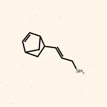 [SiH3]CC=CC1CC2C=CC1C2